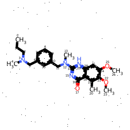 CCCN(C)Cc1cccc(CN(C)c2nc(=O)c3c(C)c(OC)c(OC)cc3[nH]2)c1